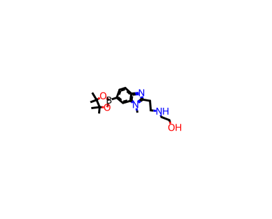 Cn1c(CCNCCO)nc2ccc(B3OC(C)(C)C(C)(C)O3)cc21